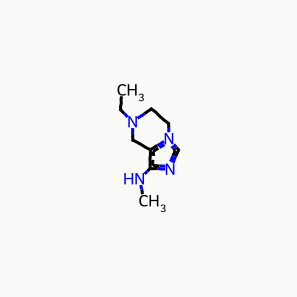 CCN1CCn2cnc(NC)c2C1